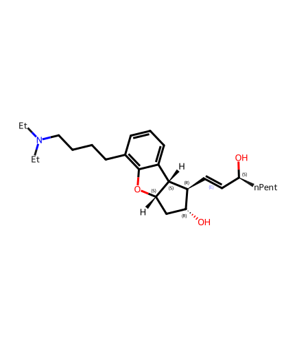 CCCCC[C@H](O)/C=C/[C@@H]1[C@H]2c3cccc(CCCCN(CC)CC)c3O[C@H]2C[C@H]1O